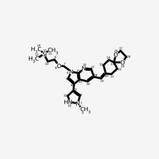 CN1C=C(c2cn(COCC[Si](C)(C)C)c3ncc(C=C4CCC5(CC4)OCCO5)cc23)CN1